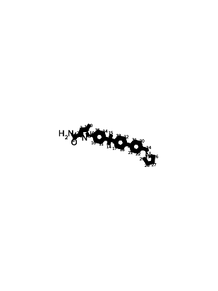 Cc1cc(C(N)=O)nn1-c1ccc(C(C)(C)c2ccc(-c3ccc(CN4CCCC4)cc3)cc2)cc1